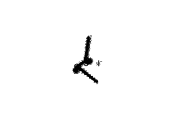 CCCCCCCCCCCCCCCCN1C(=CC=CC=Cc2sc3ccccc3[n+]2CCCCCCCCCCCCCCCC)Sc2ccccc21.[I-]